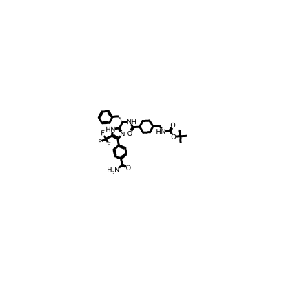 CC(C)(C)OC(=O)NCC1CCC(C(=O)N[C@@H](Cc2ccccc2)c2nc(-c3ccc(C(N)=O)cc3)c(C(F)(F)F)[nH]2)CC1